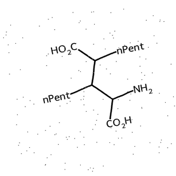 CCCCCC(C(=O)O)C(CCCCC)C(N)C(=O)O